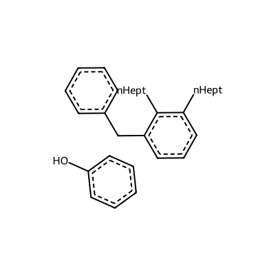 CCCCCCCc1cccc(Cc2ccccc2)c1CCCCCCC.Oc1ccccc1